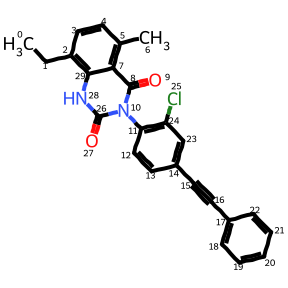 CCc1ccc(C)c2c(=O)n(-c3ccc(C#Cc4ccccc4)cc3Cl)c(=O)[nH]c12